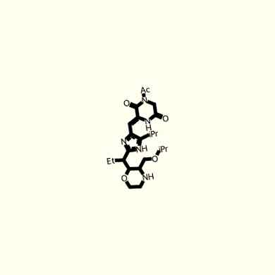 CCC(c1nc(/C=C2\NC(=O)CN(C(C)=O)C2=O)c(C(C)C)[nH]1)C1OCCNC1COC(C)C